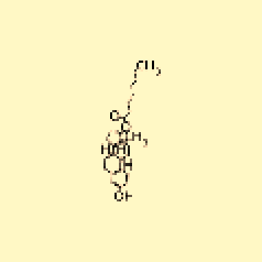 CCCCCCCC(=O)O[C@H]1CC[C@H]2[C@@H]3CCc4cc(O)ccc4[C@H]3CC[C@]12C